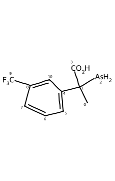 CC([AsH2])(C(=O)O)c1cccc(C(F)(F)F)c1